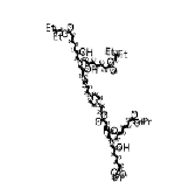 CCC(CC)COC(=O)CCCCC(O)CN(CCCSSCCN1CCN(CCOC(=O)CCCCN(CC(O)CCCCC(=O)OC(C)C)CC(O)CCCCC(=O)OC(C)C)CC1)CC(O)CCCCC(=O)OCC(CC)CC